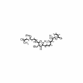 C/C(Cl)=C\C[C@@H](C/C=C\NC(=O)[C@@H](NC(=O)/C=C/C=C\C(C)=C\[C@H](C)[C@@H]1CC=CC(=O)O1)C(C)(C)C)OC(C)C